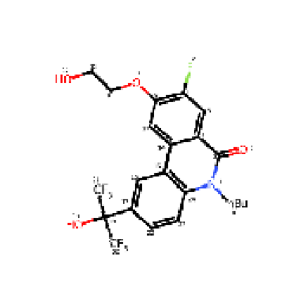 CCCCn1c(=O)c2cc(F)c(OCCO)cc2c2cc(C(O)(C(F)(F)F)C(F)(F)F)ccc21